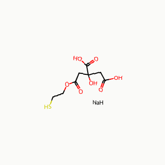 O=C(O)CC(O)(CC(=O)OCCS)C(=O)O.[NaH]